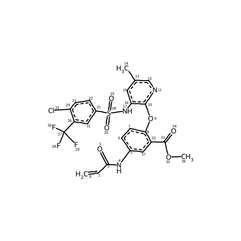 C=CC(=O)Nc1ccc(Oc2ncc(C)cc2NS(=O)(=O)c2ccc(Cl)c(C(F)(F)F)c2)c(C(=O)OC)c1